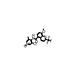 COc1ccc(C(=O)Nc2c(C)c[n+]([O-])cc2Cl)c2ccc(C(F)(F)F)nc12